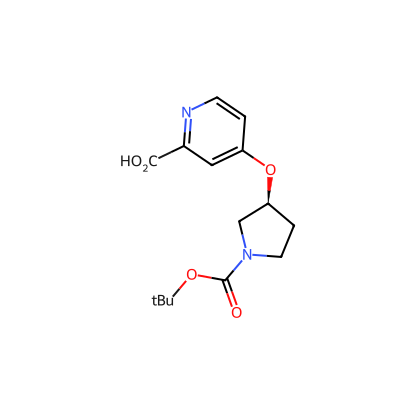 CC(C)(C)OC(=O)N1CC[C@H](Oc2ccnc(C(=O)O)c2)C1